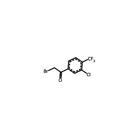 O=C(CBr)c1ccc(C(F)(F)F)c(Cl)c1